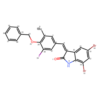 CC(C)(C)c1cc(C=C2C(=O)Nc3c(Br)cc(Br)cc32)cc(I)c1OCc1ccccc1